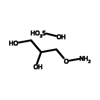 NOCC(O)CO.O=S(=O)(O)O